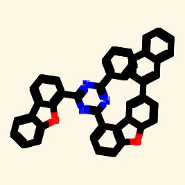 C1=CC2Oc3cccc(-c4nc(-c5ccccc5)nc(-c5cccc6c5oc5ccccc56)n4)c3C2C=C1c1ccc2ccccc2c1